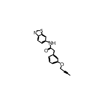 CC#CCOc1cccc(CC(=O)Nc2ccc3ncsc3c2)c1